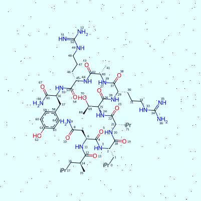 CC(C)C[C@H](NC(=O)[C@H](CC(N)=O)NC(=O)[C@@H](C)CC(C)C)C(=O)N[C@H](C(=O)N[C@H](C(=O)N[C@@H](CCCNC(=N)N)C(=O)N[C@@H](C)C(=O)N[C@@H](CCCNC(=N)N)C(=O)N[C@@H](Cc1ccc(O)cc1)C(N)=O)[C@@H](C)O)C(C)C